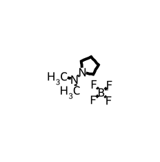 CN(C)N1CCCC1.F[B-](F)(F)F